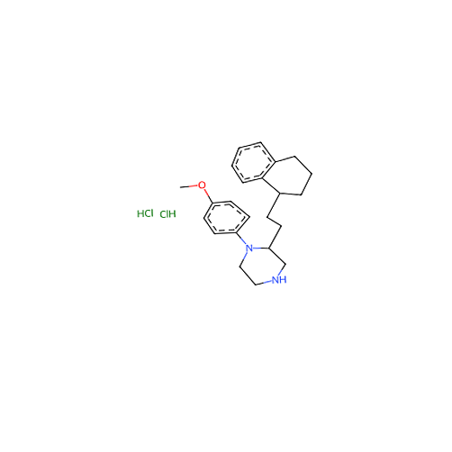 COc1ccc(N2CCNCC2CCC2CCCc3ccccc32)cc1.Cl.Cl